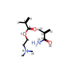 C=C(C)C(=O)OCCN(C)C.C=C(C)C(N)=O